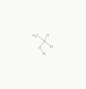 CCO[Si](C)(Cl)CC